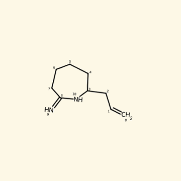 C=CCC1CCCCC(=N)N1